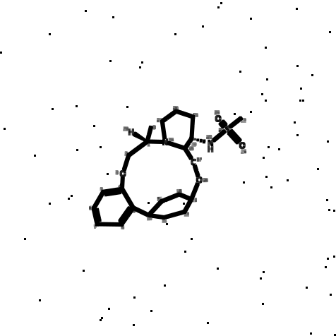 C[C@H]1COc2ccccc2C2CCC(CC2)OCC2[C@@H](NS(C)(=O)=O)CCCN21